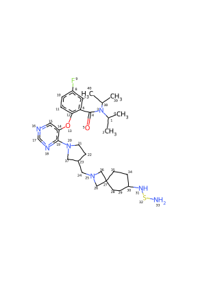 CC(C)N(C(=O)c1cc(F)ccc1Oc1cncnc1N1CCC(CN2CC3(CCC(NSN)CC3)C2)C1)C(C)C